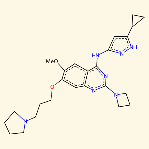 COc1cc2c(Nc3cc(C4CC4)[nH]n3)nc(N3CCC3)nc2cc1OCCCN1CCCC1